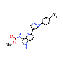 CC(C)(C)OC(=O)Nc1c[nH]c2ccc(-c3cnn(-c4ccc(C(F)(F)F)cc4)c3)nc12